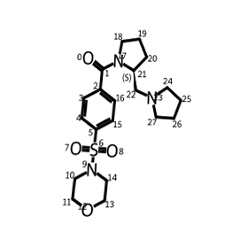 O=C(c1ccc(S(=O)(=O)N2CCOCC2)cc1)N1CCC[C@H]1CN1CCCC1